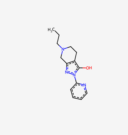 CCCN1CCc2c(nn(-c3ccccn3)c2O)C1